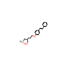 CCC(CO)CCCOc1ccc(C=Cc2ccccc2)cc1